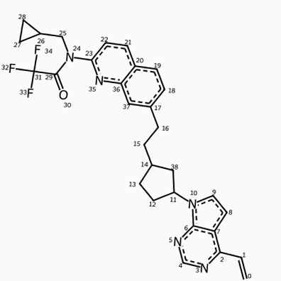 C=Cc1ncnc2c1ccn2C1CCC(CCc2ccc3ccc(N(CC4CC4)C(=O)C(F)(F)F)nc3c2)C1